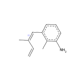 C=C/C(C)=C\c1cccc(N)c1C